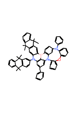 CC1(C)c2ccccc2C(C)(C)c2cc(N3c4cc5c(cc4B4c6ccc7cc6N(c6ccccc6Oc6ccccc6N7c6ccccc6)c6cc(-c7ccccc7)cc3c64)C(C)(C)c3ccccc3C5(C)C)ccc21